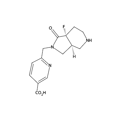 O=C(O)c1ccc(CN2C[C@@H]3CNCC[C@]3(F)C2=O)nc1